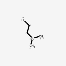 CCC[CH2][Sb]([CH3])[CH3]